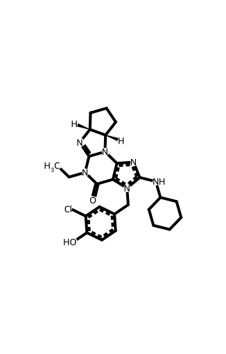 CCN1C(=O)c2c(nc(NC3CCCCC3)n2Cc2ccc(O)c(Cl)c2)N2C1=N[C@@H]1CCC[C@@H]12